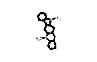 CN1c2ccccc2Cc2cc3c(cc21)c1ccccc1n3C